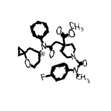 COC(=O)C1(CC(=O)N(c2ccccc2)[C@@H]2CCOC3(CC3)C2)CCN(C(=O)N(C)c2ccc(F)cc2)CC1